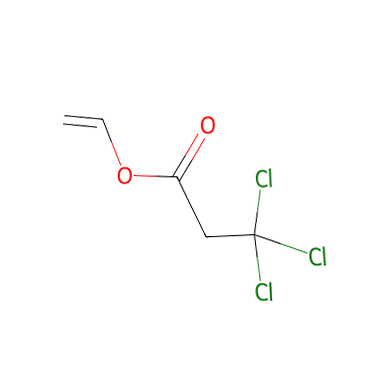 C=COC(=O)CC(Cl)(Cl)Cl